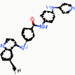 C#Cc1ccc2nccc(Nc3ccc(C(=O)Nc4ccc(Nc5ccncc5)cc4)cc3)c2c1